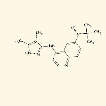 Cc1[nH]nc(Nc2ccnc3ccc([S@@+]([O-])C(C)(C)C)cc23)c1C